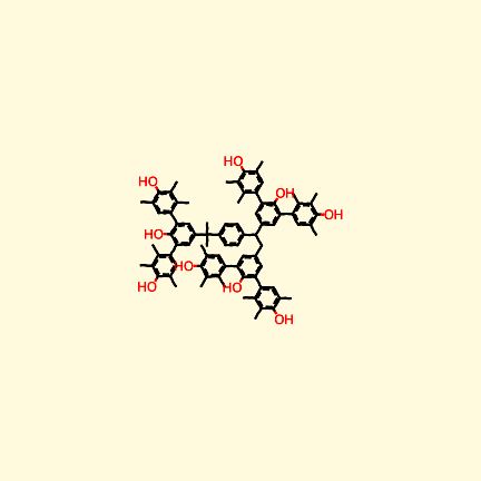 Cc1cc(-c2cc(CC(c3ccc(C(C)(C)c4cc(-c5cc(C)c(O)c(C)c5C)c(O)c(-c5cc(C)c(O)c(C)c5C)c4)cc3)c3cc(-c4cc(C)c(O)c(C)c4C)c(O)c(-c4cc(C)c(O)c(C)c4C)c3)cc(-c3cc(C)c(O)c(C)c3C)c2O)c(C)c(C)c1O